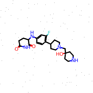 O=C1CCC(Nc2ccc(C3CCN(CC4(O)CCNCC4)CC3)c(F)c2)C(=O)N1